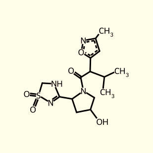 Cc1cc(C(C(=O)N2CC(O)CC2C2=NS(=O)(=O)CN2)C(C)C)on1